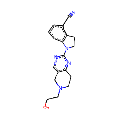 N#Cc1cccc2c1CCN2c1ncc2c(n1)CCN(CCO)C2